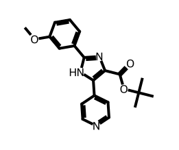 COc1cccc(-c2nc(C(=O)OC(C)(C)C)c(-c3ccncc3)[nH]2)c1